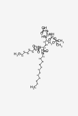 CCCCCCCCCCCCNC(=O)[C@H](CCCN/C(=N\C(=O)O)NC(=O)OC(C)(C)C)NC(=O)C(=O)CCCCCC